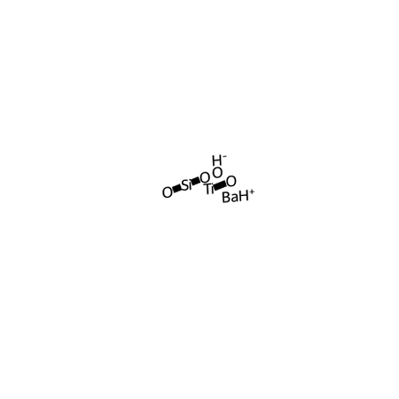 O=[Si]=O.[BaH+].[OH-].[O]=[Ti]